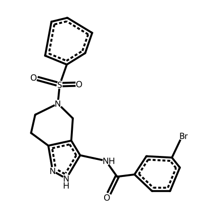 O=C(Nc1[nH]nc2c1CN(S(=O)(=O)c1ccccc1)CC2)c1cccc(Br)c1